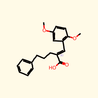 COc1ccc(OC)c(/C=C(\CCCc2ccccc2)C(=O)O)c1